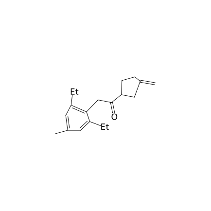 C=C1CCC(C(=O)Cc2c(CC)cc(C)cc2CC)C1